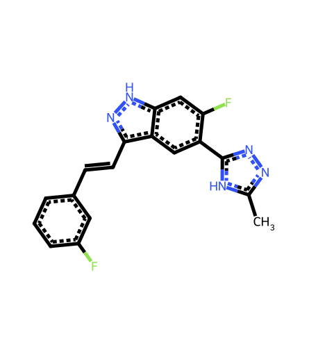 Cc1nnc(-c2cc3c(/C=C/c4cccc(F)c4)n[nH]c3cc2F)[nH]1